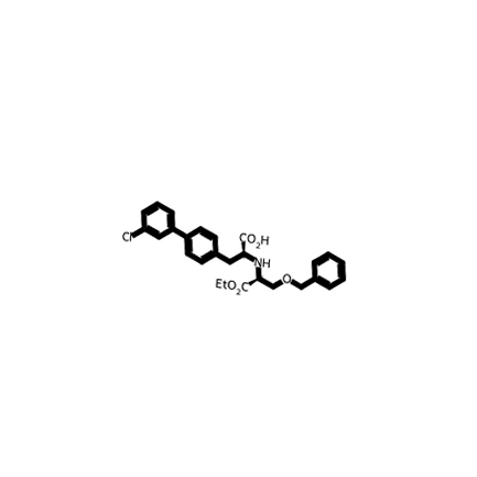 CCOC(=O)[C@H](COCc1ccccc1)N[C@@H](Cc1ccc(-c2cccc(Cl)c2)cc1)C(=O)O